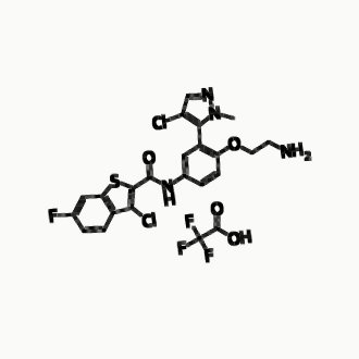 Cn1ncc(Cl)c1-c1cc(NC(=O)c2sc3cc(F)ccc3c2Cl)ccc1OCCN.O=C(O)C(F)(F)F